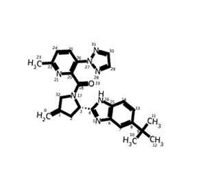 C=C1C[C@@H](c2nc3cc(C(C)(C)C)ccc3[nH]2)N(C(=O)c2nc(C)ccc2-n2nccn2)C1